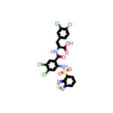 O=C(O)C(=Cc1ccc(Cl)c(Cl)c1)NC(=O)c1cc(Cl)c(Cl)cc1NS(=O)(=O)c1cccc2nsnc12